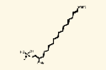 CCCCCC=CCC=CCCCCCCCCSCC(COP(=O)(O)O)OC